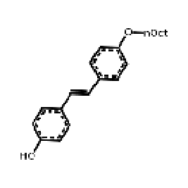 CCCCCCCCOc1ccc(C=Cc2ccc(O)cc2)cc1